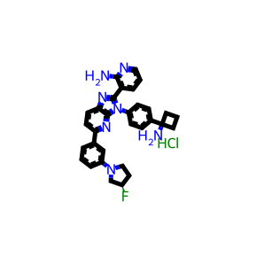 Cl.Nc1ncccc1-c1nc2ccc(-c3cccc(N4CC[C@H](F)C4)c3)nc2n1-c1ccc(C2(N)CCC2)cc1